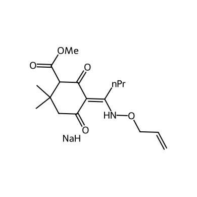 C=CCON/C(CCC)=C1\C(=O)CC(C)(C)C(C(=O)OC)C1=O.[NaH]